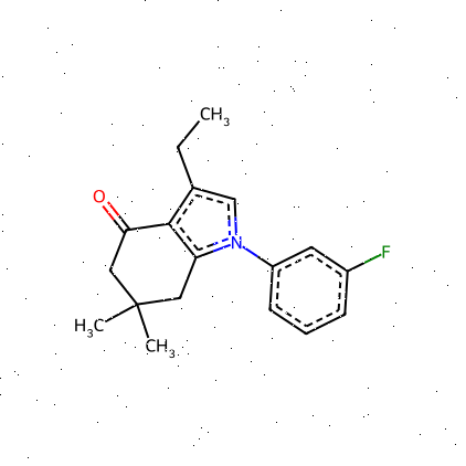 CCc1cn(-c2cccc(F)c2)c2c1C(=O)CC(C)(C)C2